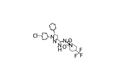 CNC(=NS(=O)(=O)N1CCC(C(F)(F)F)CC1)C1=NN(c2ccc(Cl)cc2)[C@@H](c2ccccc2)C1